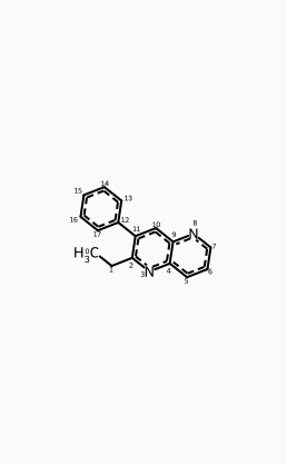 CCc1nc2cccnc2cc1-c1ccccc1